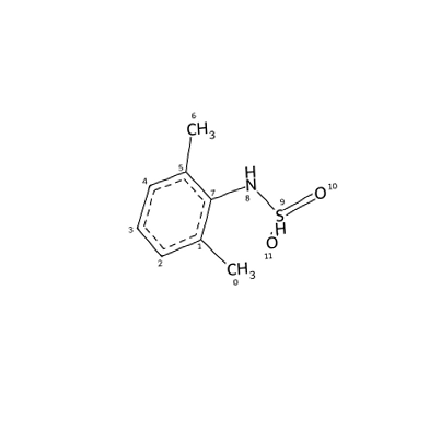 Cc1cccc(C)c1N[SH](=O)=O